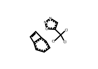 C1=Cc2ccccc21.ClC(Cl)(Cl)c1cnno1